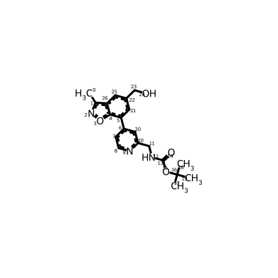 Cc1noc2c(-c3ccnc(CNC(=O)OC(C)(C)C)c3)cc(CO)cc12